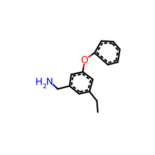 CCc1cc(CN)cc(Oc2ccccc2)c1